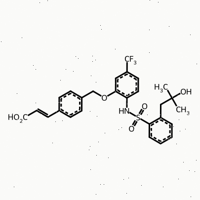 CC(C)(O)Cc1ccccc1S(=O)(=O)Nc1ccc(C(F)(F)F)cc1OCc1ccc(/C=C/C(=O)O)cc1